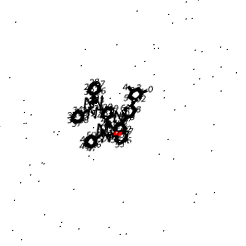 Cc1cc(C)cc(-c2ccc3c4ccccc4n(-c4ccc(-c5nc(-c6ccccc6)nc(-c6ccccc6)n5)cc4-c4nc(-c5ccccc5)nc(-c5ccccc5)n4)c3c2)c1